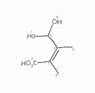 CC(C(=O)O)=C(C)C(O)O